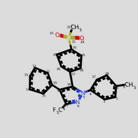 Cc1ccc(-n2nc(C(F)(F)F)c(-c3ccccc3)c2-c2ccc(S(C)(=O)=O)cc2)cc1